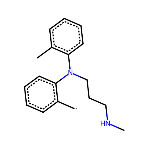 [CH2]c1ccccc1N(CCCNC)c1ccccc1[CH2]